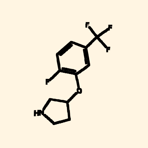 Fc1ccc(C(F)(F)F)cc1OC1CCNC1